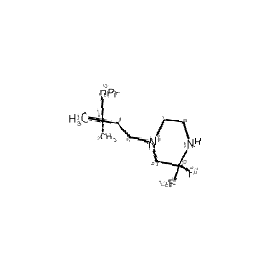 CCCC(C)(C)CCN1CCNC(F)(F)C1